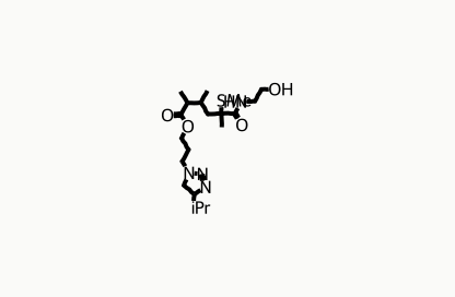 CSC(C)(CC(C)C(C)C(=O)OCCCN1CC(C(C)C)N=N1)C(=O)NCCO